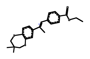 CCOC(=O)c1ccc(/C=C(\C)c2ccc3c(c2)SCC(C)(C)CS3)cc1